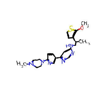 COc1sccc1C(C)CNc1cc(-c2ccc(N3CCN(C)CC3)nc2)ncn1